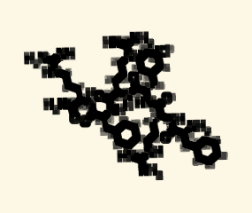 Cl.N=C(N)NCCC[C@@H](NC(=O)[C@H](CC1CCCCC1)NC(=O)[C@@H](CCCNC(=N)N)NC(=O)[C@H](CC1CCCCC1)NC(=O)[C@@H](CCCNC(=N)N)NC(=O)[C@@H](N)CC1CCCCC1)C(N)=O